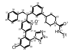 CCNC(=O)N1CCC(c2cccc([C@H](Cc3ccccc3)c3ccc(-c4cc(Cl)ccc4-n4cnnn4)c[n+]3[O-])c2)CC1